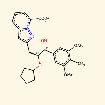 COc1cc([C@@H](O)[C@H](Cc2cc3cccc(C(=O)O)n3n2)OC2CCCC2)cc(OC)c1C